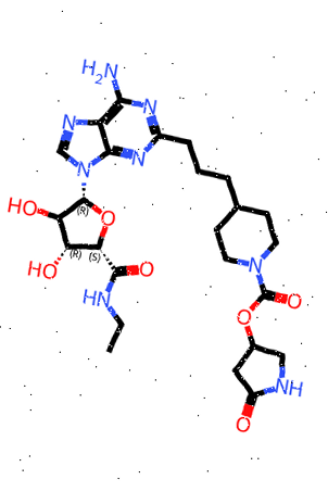 CCNC(=O)[C@H]1O[C@@H](n2cnc3c(N)nc(CCCC4CCN(C(=O)OC5CNC(=O)C5)CC4)nc32)C(O)[C@H]1O